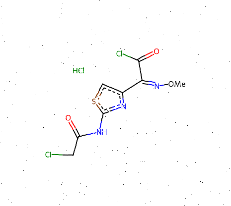 CO/N=C(\C(=O)Cl)c1csc(NC(=O)CCl)n1.Cl